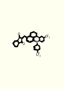 O=C1C(=Cc2ccc3c4c(cccc24)-c2cc(C(F)(F)F)ccc2N3c2ccc(C(F)(F)F)cc2)C(=O)c2ccccc21